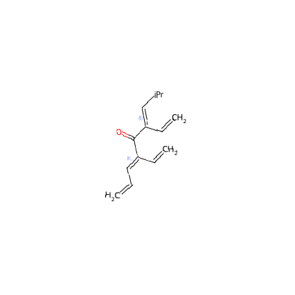 C=C/C=C(\C=C)C(=O)/C(C=C)=C/C(C)C